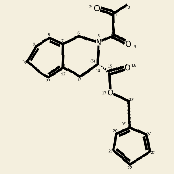 CC(=O)C(=O)N1Cc2ccccc2C[C@H]1C(=O)OCc1ccccc1